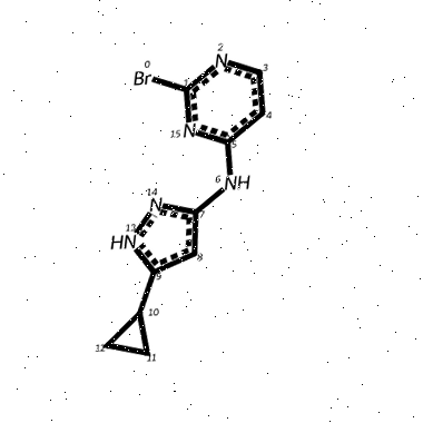 Brc1nccc(Nc2cc(C3CC3)[nH]n2)n1